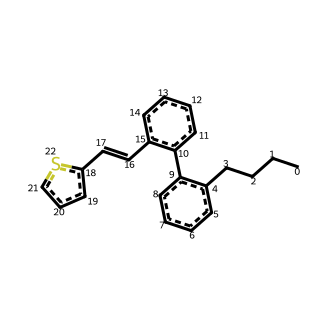 CCCCc1ccccc1-c1ccccc1C=Cc1cccs1